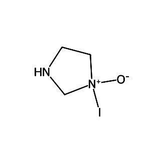 [O-][N+]1(I)CCNC1